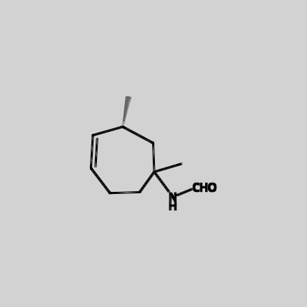 C[C@H]1C=CCCC(C)(NC=O)C1